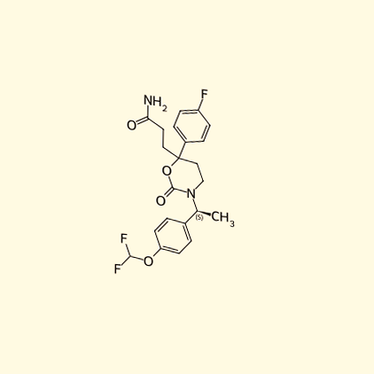 C[C@@H](c1ccc(OC(F)F)cc1)N1CCC(CCC(N)=O)(c2ccc(F)cc2)OC1=O